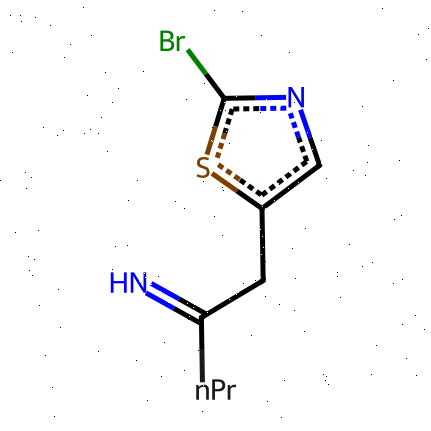 CCCC(=N)Cc1cnc(Br)s1